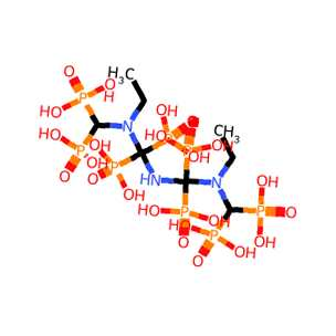 CCN(C(P(=O)(O)O)P(=O)(O)O)C(NC(N(CC)C(P(=O)(O)O)P(=O)(O)O)(P(=O)(O)O)P(=O)(O)O)(P(=O)(O)O)P(=O)(O)O